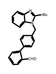 CCCCc1nc2ccccc2n1Cc1ccc(-c2ccccc2C=O)cc1